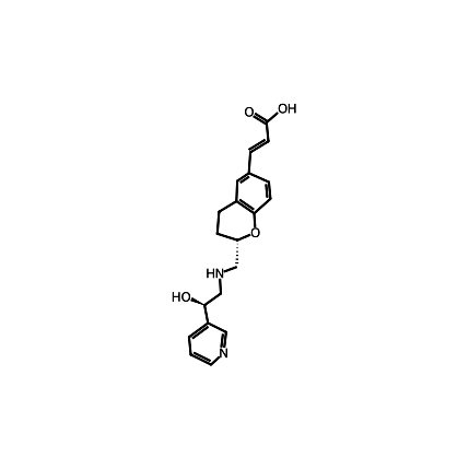 O=C(O)/C=C/c1ccc2c(c1)CC[C@@H](CNC[C@H](O)c1cccnc1)O2